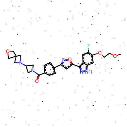 COCCOc1cc2[nH]nc(-c3cc(-c4ccc(C(=O)N5CC(N6CC7(COC7)C6)C5)cc4)no3)c2cc1F